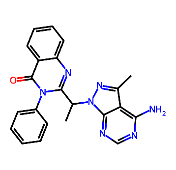 Cc1nn(C(C)c2nc3ccccc3c(=O)n2-c2ccccc2)c2ncnc(N)c12